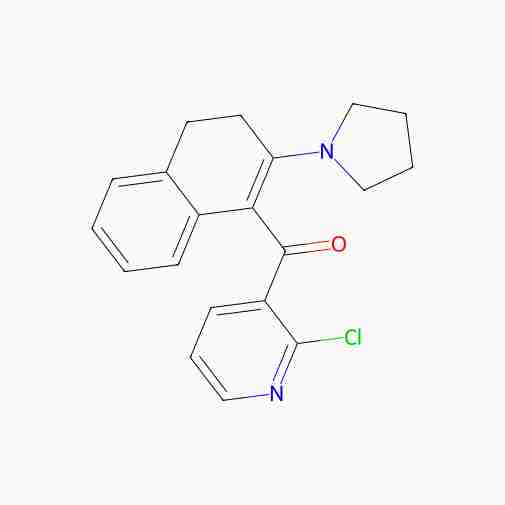 O=C(C1=C(N2CCCC2)CCc2ccccc21)c1cccnc1Cl